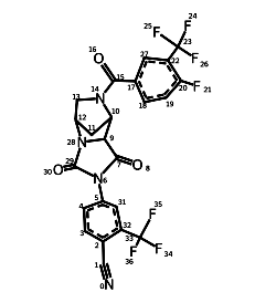 N#Cc1ccc(N2C(=O)C3C4CC(CN4C(=O)c4ccc(F)c(C(F)(F)F)c4)N3C2=O)cc1C(F)(F)F